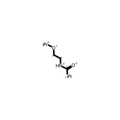 CC(C)OCCNC(=O)C(C)C